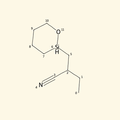 CCC(C#N)C[SiH]1CCCCO1